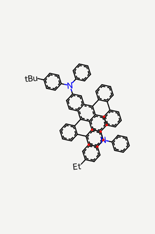 CCc1ccc(N(c2ccccc2)c2ccc3c(-c4ccccc4-c4ccccc4)c4cc(N(c5ccccc5)c5ccc(C(C)(C)C)cc5)ccc4c(-c4ccccc4-c4ccccc4)c3c2)cc1